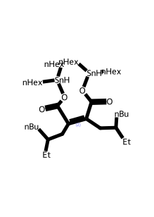 CCCCC[CH2][SnH]([CH2]CCCCC)[O]C(=O)/C(CC(CC)CCCC)=C(/CC(CC)CCCC)C(=O)[O][SnH]([CH2]CCCCC)[CH2]CCCCC